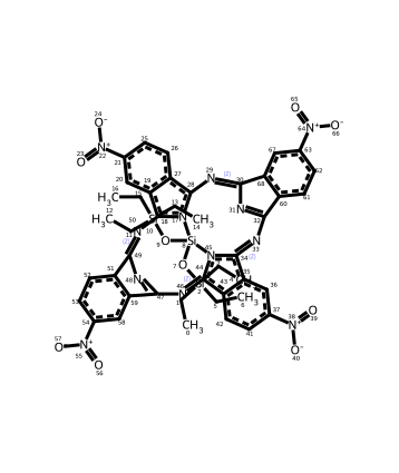 CC[Si](CC)(CC)O[Si]1(O[Si](CC)(CC)CC)n2c3c4cc([N+](=O)[O-])ccc4c2/N=C2N=C(/N=c4/c5cc([N+](=O)[O-])ccc5/c(n41)=N/C1=NC(=N\3)/c3ccc([N+](=O)[O-])cc31)c1ccc([N+](=O)[O-])cc1\2